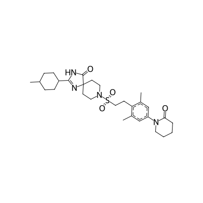 Cc1cc(N2CCCCC2=O)cc(C)c1CCS(=O)(=O)N1CCC2(CC1)N=C(C1CCC(C)CC1)NC2=O